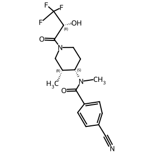 C[C@@H]1CN(C(=O)[C@@H](O)C(F)(F)F)CC[C@@H]1N(C)C(=O)c1ccc(C#N)cc1